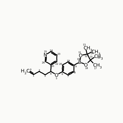 C=CCCC(Oc1ccc(B2OC(C)(C)C(C)(C)O2)cc1)c1cccnc1